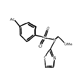 COCN(c1nccs1)S(=O)(=O)c1ccc(C(C)=O)cc1